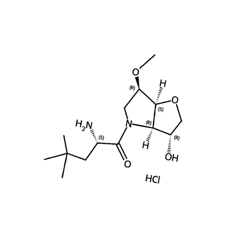 CO[C@@H]1CN(C(=O)[C@@H](N)CC(C)(C)C)[C@H]2[C@@H]1OC[C@@H]2O.Cl